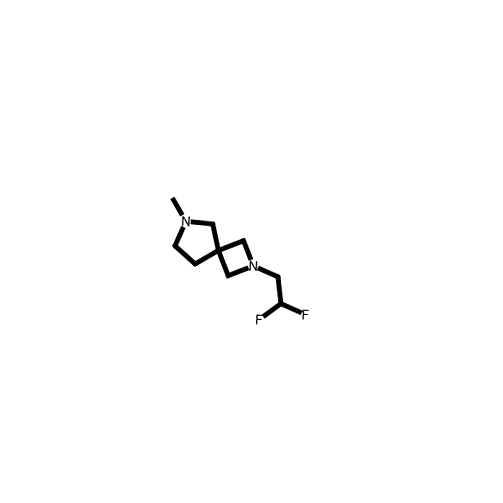 CN1CCC2(C1)CN(CC(F)F)C2